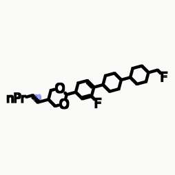 CCC/C=C/C1COC(C2C=C(F)C(C3CCC(C4CCC(CF)CC4)CC3)=CC2)OC1